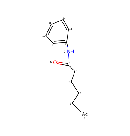 CC(=O)CCCCC(=O)Nc1ccccc1